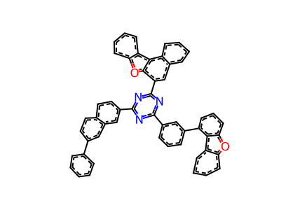 c1ccc(-c2ccc3ccc(-c4nc(-c5cccc(-c6cccc7oc8ccccc8c67)c5)nc(-c5cc6ccccc6c6c5oc5ccccc56)n4)cc3c2)cc1